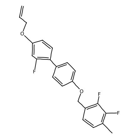 C=CCOc1ccc(-c2ccc(OCc3ccc(C)c(F)c3F)cc2)c(F)c1